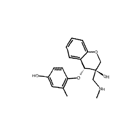 CNC[C@@]1(O)COc2ccccc2[C@H]1Oc1ccc(O)cc1C